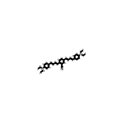 CCN(CC)c1ccc(C=CC=Cc2ccc(C=CC=Cc3ccc(N(CC)CC)cc3)c(C#N)c2)cc1